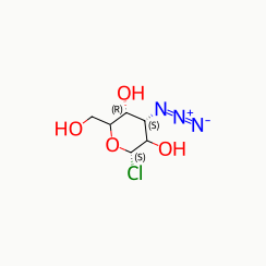 [N-]=[N+]=N[C@@H]1C(O)[C@H](Cl)OC(CO)[C@@H]1O